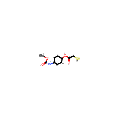 CC(C)(C)OC(=O)NC1CCC(OC(=O)CS)CC1